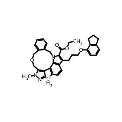 CCOC(=O)c1c(CCCOc2cccc3c2CCC3)c2ccc(F)c3c2n1Cc1ccccc1COCc1c-3c(C)nn1C